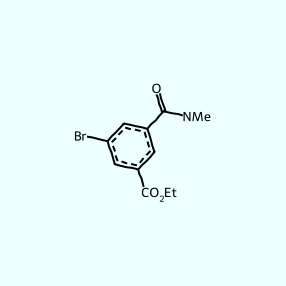 CCOC(=O)c1cc(Br)cc(C(=O)NC)c1